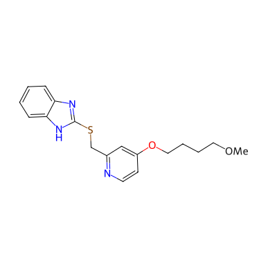 COCCCCOc1ccnc(CSc2nc3ccccc3[nH]2)c1